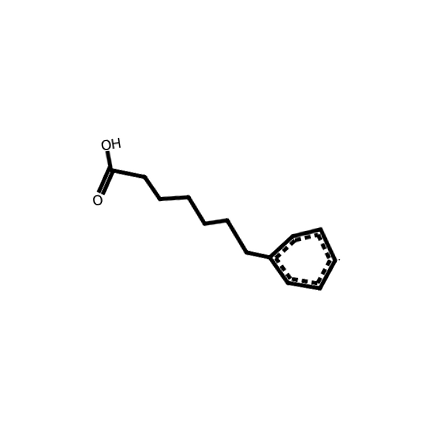 O=C(O)CCCCCCc1cc[c]cc1